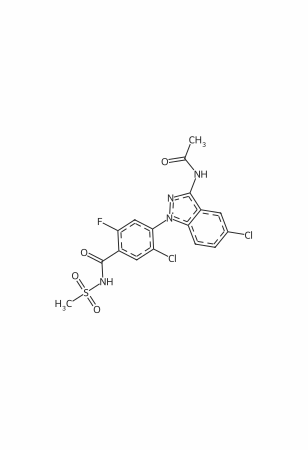 CC(=O)Nc1nn(-c2cc(F)c(C(=O)NS(C)(=O)=O)cc2Cl)c2ccc(Cl)cc12